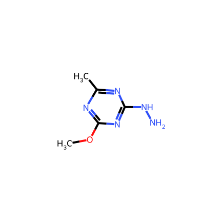 COc1nc(C)nc(NN)n1